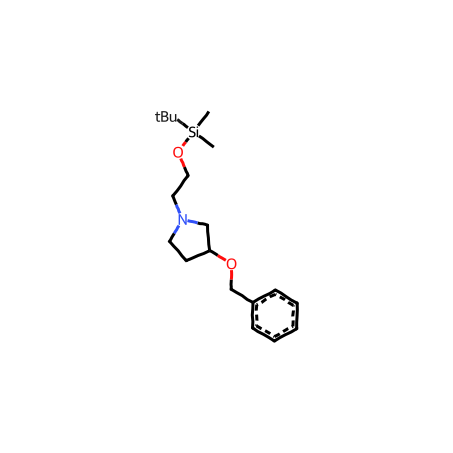 CC(C)(C)[Si](C)(C)OCCN1CCC(OCc2ccccc2)C1